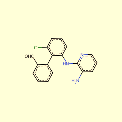 Nc1cccnc1Nc1cccc(Cl)c1-c1ccccc1C=O